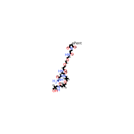 CCCCCC1CC(=O)N(CCC(=O)NCCOCCOCCC(=O)N[C@@H](CCC(=O)NN)C(=O)NCC(C)(C)COCC(C)(C)CC(=O)NCC(C)(C)CO)C1=O